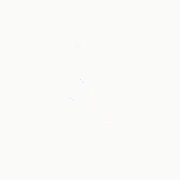 O=C(O)C[C@@H]1C(=O)N(c2nc(-c3ccccc3Cl)cs2)CC(O)CC[C@@H]1c1ccccc1